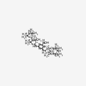 CC1(C)CC(N2C(C)(C)CC(Nc3nc(NO)nc(NC4CC(C)(C)N(C5CC(C)(C)NC(C)(C)C5)C(C)(C)C4)n3)CC2(C)C)CC(C)(C)N1